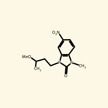 COC(C)CCn1c(=O)n(C)c2ccc([N+](=O)[O-])cc21